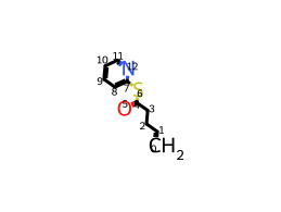 C=CCCC(=O)Sc1ccccn1